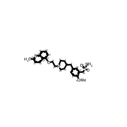 COc1ccc(CC2CCN(CCOc3cccc4nc(C)ccc34)CC2)cc1CS(N)(=O)=O